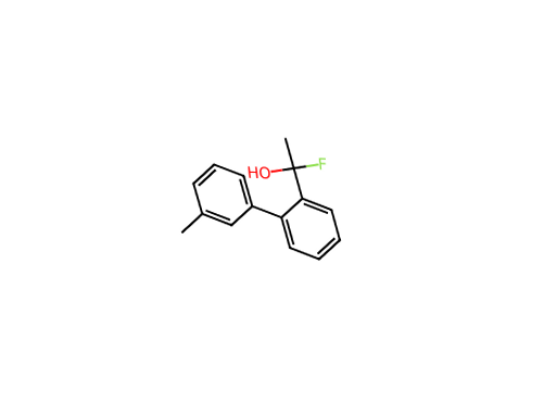 Cc1cccc(-c2ccccc2C(C)(O)F)c1